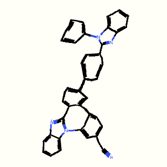 N#Cc1ccc2c3cc(-c4ccc(-c5nc6ccccc6n5-c5ccccc5)cc4)ccc3c3nc4ccccc4n3c2c1